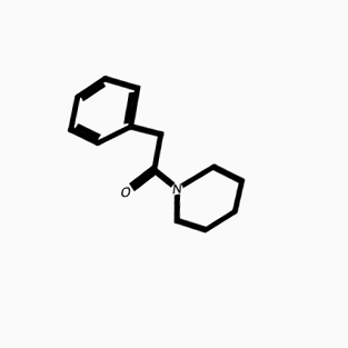 O=C(Cc1ccccc1)N1CCCCC1